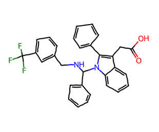 O=C(O)Cc1c(-c2ccccc2)n(C(NCc2cccc(C(F)(F)F)c2)c2ccccc2)c2ccccc12